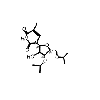 CC(C)OC[C@H]1O[C@@H](n2cc(I)c(=O)[nH]c2=O)C(O)[C@H]1OC(C)C